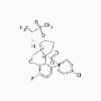 CC(C[C@@H]1CCC[C@@]2(S(=O)(=O)c3ccc(Cl)cc3)c3c(F)ccc(F)c3OC[C@@H]12)S(C)(=O)=O